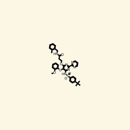 COc1ccccc1Oc1c(NS(=O)(=O)c2ccc(C(C)(C)C)cc2)nc(-c2ncccn2)nc1OCCC(=O)NCc1ccccc1C